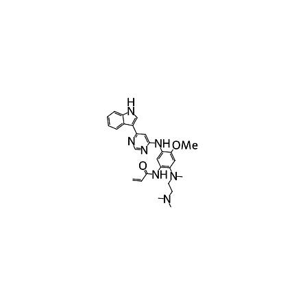 C=CC(=O)Nc1cc(Nc2cc(-c3c[nH]c4ccccc34)ncn2)c(OC)cc1N(C)CCN(C)C